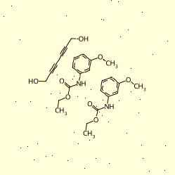 CCOC(=O)Nc1cccc(OC)c1.CCOC(=O)Nc1cccc(OC)c1.OCC#CC#CCO